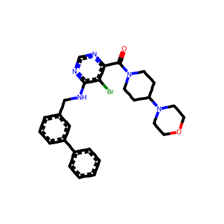 O=C(c1ncnc(NCc2cccc(-c3ccccc3)c2)c1Br)N1CCC(N2CCOCC2)CC1